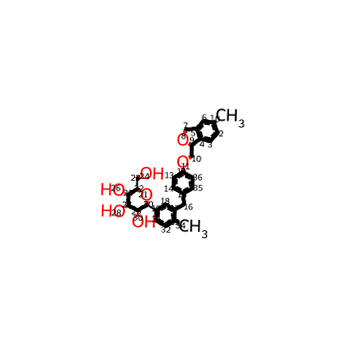 Cc1ccc2c(c1)COC2COc1ccc(Cc2cc([C@@H]3O[C@H](CO)[C@@H](O)[C@H](O)[C@H]3O)ccc2C)cc1